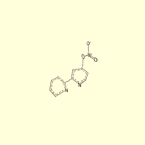 O=[N+]([O-])Oc1ccnc(-c2ccccn2)c1